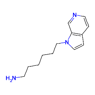 NCCCCCCn1ccc2ccncc21